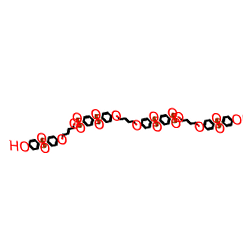 O=S(=O)(OC/C=C/COc1ccc(S(=O)(=O)c2ccc(O)cc2)cc1)c1ccc(S(=O)(=O)c2ccc(OC/C=C/COc3ccc(S(=O)(=O)c4ccc(S(=O)(=O)OC/C=C/COc5ccc(S(=O)(=O)c6ccc(O)cc6)cc5)cc4)cc3)cc2)cc1